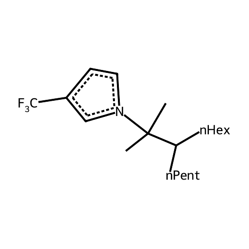 CCCCCCC(CCCCC)C(C)(C)n1ccc(C(F)(F)F)c1